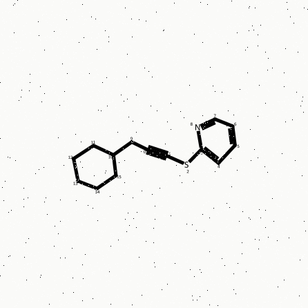 C(#CSc1ccccn1)CC1CCCCC1